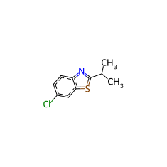 CC(C)c1nc2ccc(Cl)cc2s1